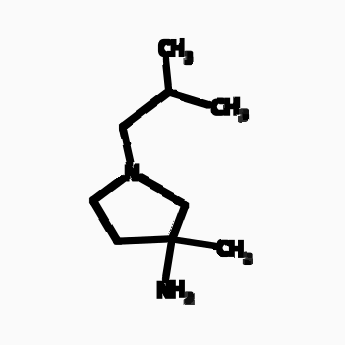 C[C](C)CN1CCC(C)(N)C1